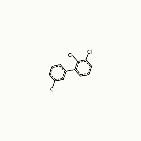 Clc1cccc(-c2cccc(Cl)c2Cl)c1